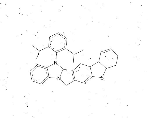 CC(C)c1cccc(C(C)C)c1N1c2ccccc2N2CC3=C(CC4C(=C3)SC3CCC=CC34)C21